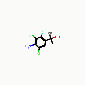 CC(O)(c1cc(Cl)c(N)c(Cl)c1F)C(F)(F)F